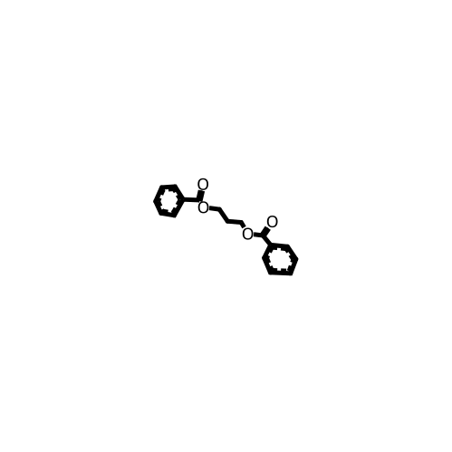 O=C(OCCCOC(=O)c1ccccc1)c1ccccc1